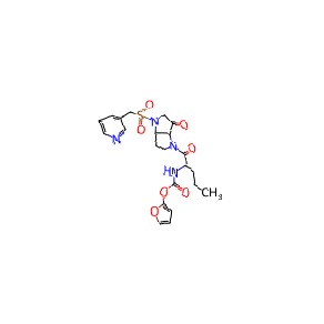 CCCC(NC(=O)Oc1ccco1)C(=O)N1CCC2C1C(=O)CN2S(=O)(=O)Cc1cccnc1